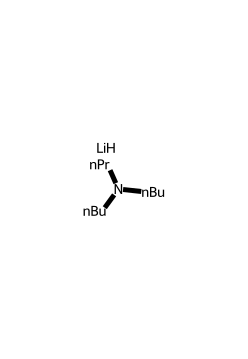 [CH2]CCN(CCCC)CCCC.[LiH]